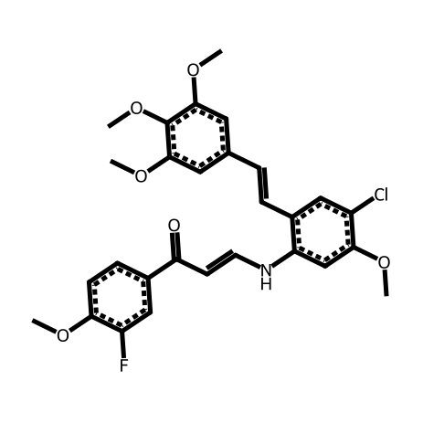 COc1ccc(C(=O)C=CNc2cc(OC)c(Cl)cc2C=Cc2cc(OC)c(OC)c(OC)c2)cc1F